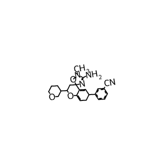 CN1OC2(CC(C3CCCOC3)OC3=CCC(c4cccc(C#N)c4)C=C32)N=C1N